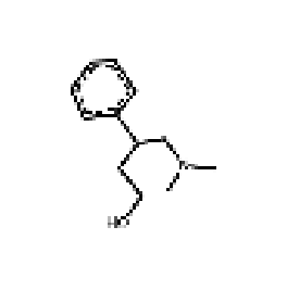 CN(C)CC(CCO)c1ccccc1